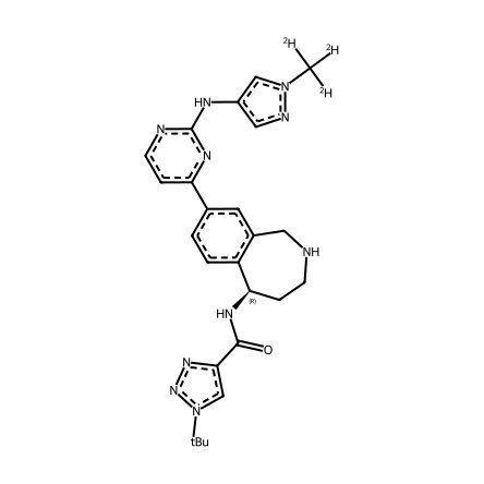 [2H]C([2H])([2H])n1cc(Nc2nccc(-c3ccc4c(c3)CNCC[C@H]4NC(=O)c3cn(C(C)(C)C)nn3)n2)cn1